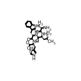 CC(C)C[C@H](NC(=O)[C@H](C)N)C(=O)N[C@@H](Cc1c[nH]c2ccccc12)C(=O)N[C@@H](Cc1c[nH]cn1)C(=O)O